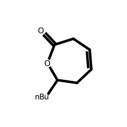 CCCCC1CC=CCC(=O)O1